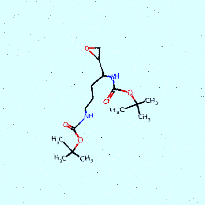 CC(C)(C)OC(=O)NCCCC(NC(=O)OC(C)(C)C)[C@@H]1CO1